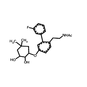 CC(=O)NCCc1ccc(OC2CC(C)(C)CC(O)C2O)cc1-c1cccc(F)c1